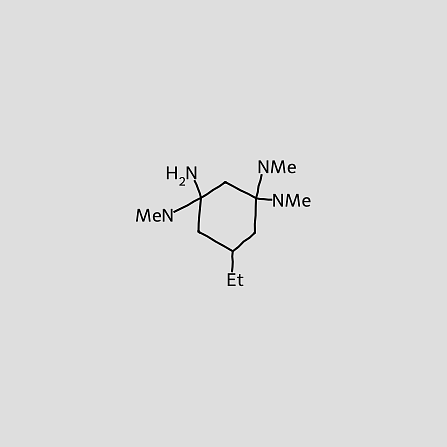 CCC1CC(N)(NC)CC(NC)(NC)C1